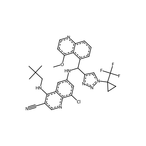 COc1ccnc2cccc(C(Nc3cc(Cl)c4ncc(C#N)c(NCC(C)(C)C)c4c3)c3cn(C4(C(F)(F)F)CC4)nn3)c12